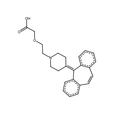 O=C(O)COCCN1CCC(=C2c3ccccc3C=Cc3ccccc32)CC1